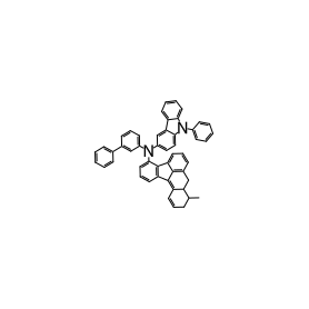 CC1CC=CC2=C3c4cccc(N(c5cccc(-c6ccccc6)c5)c5ccc6c(c5)c5ccccc5n6-c5ccccc5)c4-c4cccc(c43)CC21